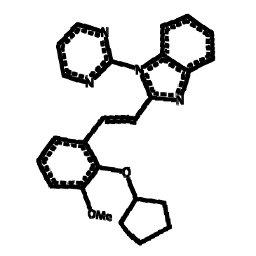 COc1cccc(/C=C/c2nc3ccccc3n2-c2ncccn2)c1OC1CCCC1